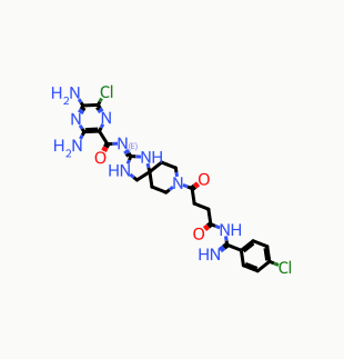 N=C(NC(=O)CCC(=O)N1CCC2(CC1)CN/C(=N\C(=O)c1nc(Cl)c(N)nc1N)N2)c1ccc(Cl)cc1